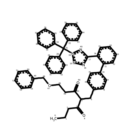 CCCC(=O)C(Cc1ccc(-c2ccccc2-c2nnn(C(c3ccccc3)(c3ccccc3)c3ccccc3)n2)cc1)C(=O)CCOCc1ccccc1